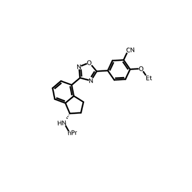 CCCN[C@H]1CCc2c(-c3noc(-c4ccc(OCC)c(C#N)c4)n3)cccc21